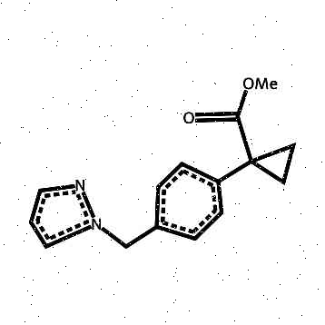 COC(=O)C1(c2ccc(Cn3cccn3)cc2)CC1